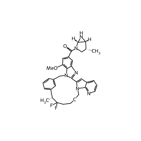 COc1cc(C(=O)N2C[C@@H](C)[C@H]3N[C@H]32)cc2nc3n(c12)Cc1cccc(c1)[C@@H](C)C(F)(F)CCCCn1c-3cc2cccnc21